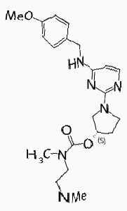 CNCCN(C)C(=O)O[C@H]1CCN(c2nccc(NCc3ccc(OC)cc3)n2)C1